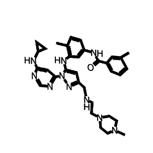 Cc1cccc(C(=O)Nc2ccc(C)c(Nc3cc(CNCCN4CCN(C)CC4)nn3-c3cc(NC4CC4)ncn3)c2)c1